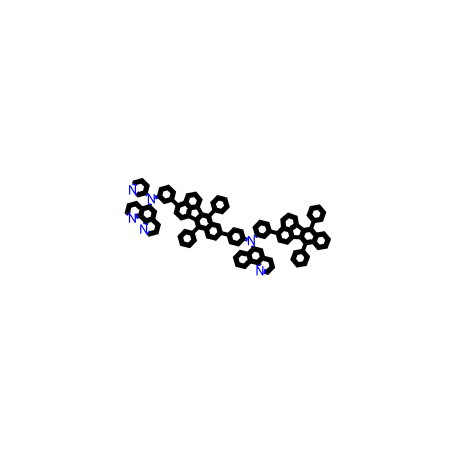 c1ccc(-c2c3c(c(-c4ccccc4)c4ccccc24)-c2ccc(-c4cccc(N(c5ccc(-c6ccc7c(-c8ccccc8)c8c(c(-c9ccccc9)c7c6)-c6cccc7c(-c9cccc(N(c%10cccnc%10)c%10cc%11cccnc%11c%11ncccc%10%11)c9)ccc-8c67)cc5)c5cc6cccnc6c6ccccc56)c4)c4cccc-3c24)cc1